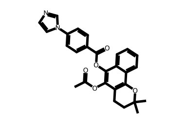 CC(=O)Oc1c2c(c3ccccc3c1OC(=O)c1ccc(-n3ccnc3)cc1)OC(C)(C)CC2